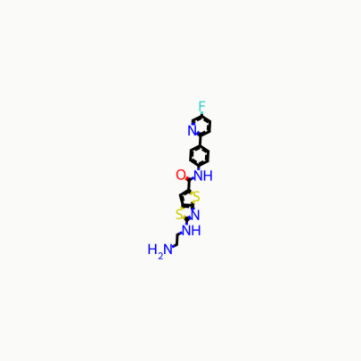 NCCNc1nc2sc(C(=O)Nc3ccc(-c4ccc(F)cn4)cc3)cc2s1